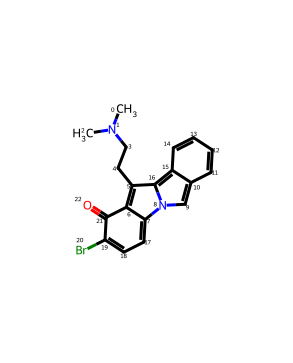 CN(C)CCc1c2c(n3cc4ccccc4c13)=CC=C(Br)C2=O